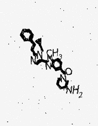 Cn1c(-c2cnc(CCc3ccccc3)n2CC2CC2)nc2cc(C(=O)N3CCC[C@@H](N)C3)ccc21